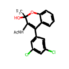 CC(=O)NC1=C(c2cc(Cl)cc(Cl)c2)c2ccccc2OC1(O)C(F)(F)F